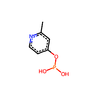 Cc1cc(OP(O)O)ccn1